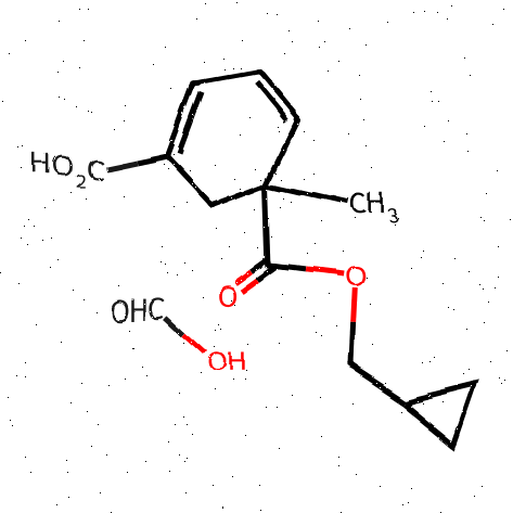 CC1(C(=O)OCC2CC2)C=CC=C(C(=O)O)C1.O=CO